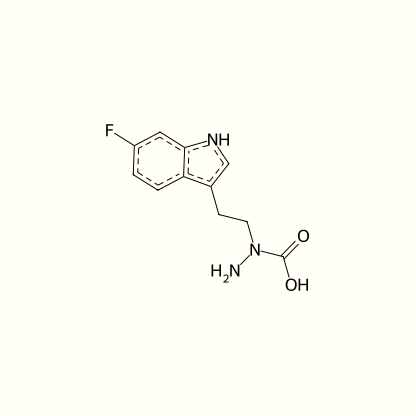 NN(CCc1c[nH]c2cc(F)ccc12)C(=O)O